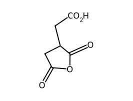 O=C(O)CC1CC(=O)OC1=O